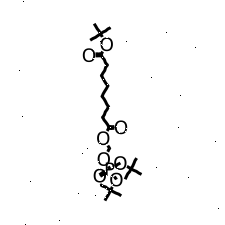 CC(C)(C)OC(=O)CCCCCCC(=O)OCOP(=O)(OC(C)(C)C)OC(C)(C)C